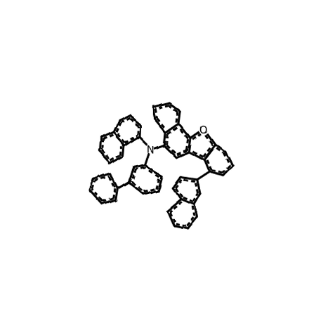 c1ccc(-c2cccc(N(c3cccc4ccccc34)c3cc4c(oc5cccc(-c6ccc7ccccc7c6)c54)c4ccccc34)c2)cc1